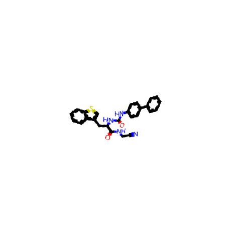 N#CCNC(=O)C(Cc1csc2ccccc12)NC(=O)Nc1ccc(-c2ccccc2)cc1